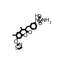 Cc1cc2c(C)c(Cc3cccc(NS(N)(=O)=O)c3)c(=O)oc2cc1Oc1nccs1